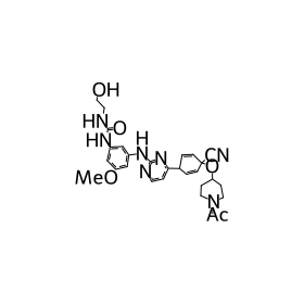 COc1cc(NC(=O)NCCO)cc(Nc2nccc(C3C=CC(C#N)(OC4CCN(C(C)=O)CC4)C=C3)n2)c1